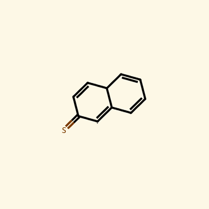 S=C1[C]=C2C=CC=CC2C=C1